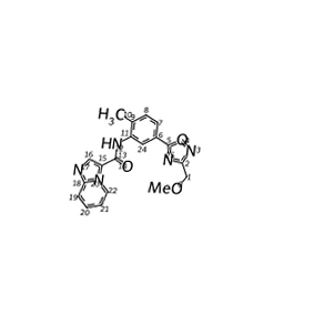 COCc1noc(-c2ccc(C)c(NC(=O)c3cnc4ccccn34)c2)n1